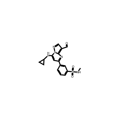 CNS(=O)(=O)c1cccc(-c2cc(NC3CC3)n3ncc(C=O)c3n2)c1